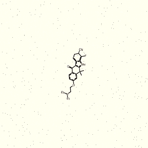 CCN(CC)CCOc1ccc2c(c1)C(C)(C)c1[nH]c3c(c1C2=O)=CCC(C#N)C=3F